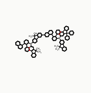 CC1(C)C2=C(CCC(N(c3ccc4c(c3)C(C)(C)c3ccc(-c5ccc6c(-c7cccc(N(c8ccc9c(c8)C(C)(C)c8ccccc8-9)c8ccc9c(c8)C(c8ccccc8)(c8ccccc8)c8ccccc8-9)c7-c7ccccc7)cccc6c5)cc3-4)c3cccc(-c4cccc5ccccc45)c3-c3ccccc3)=C2)c2ccccc21